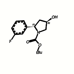 CC(C)(C)OC(=O)N1C[C@H](O)C[C@H]1c1cccc(F)c1